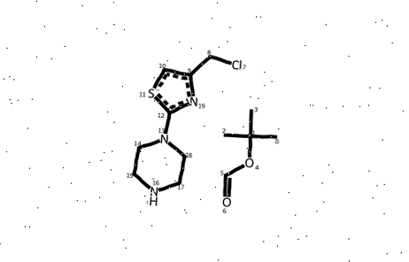 CC(C)(C)OC=O.ClCc1csc(N2CCNCC2)n1